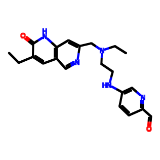 CCc1cc2cnc(CN(CC)CCNc3ccc(C=O)nc3)cc2[nH]c1=O